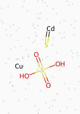 O=S(=O)(O)O.[Cu].[S]=[Cd]